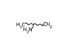 C=CCCCC(CN)CCCC